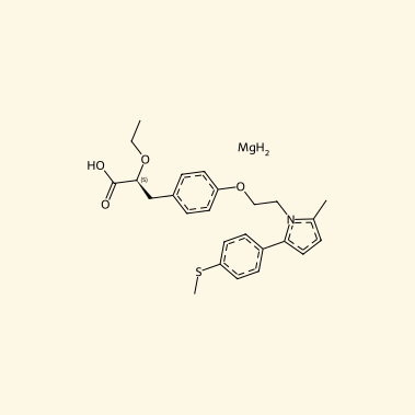 CCO[C@@H](Cc1ccc(OCCn2c(C)ccc2-c2ccc(SC)cc2)cc1)C(=O)O.[MgH2]